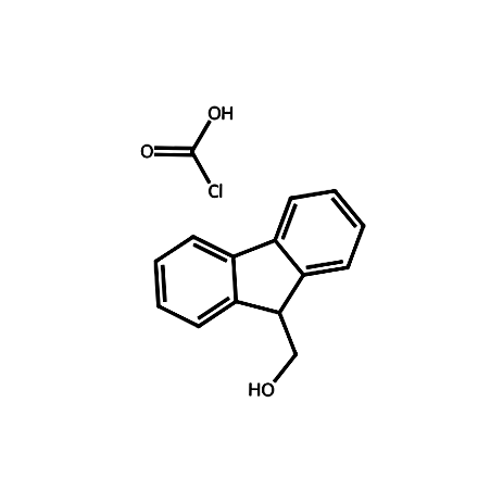 O=C(O)Cl.OCC1c2ccccc2-c2ccccc21